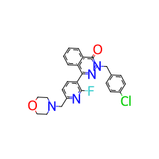 O=c1c2ccccc2c(-c2ccc(CN3CCOCC3)nc2F)nn1Cc1ccc(Cl)cc1